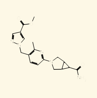 COC(=O)c1cnn(Cc2ccc(N3CC4C(C3)C4C(N)=O)nc2C)c1